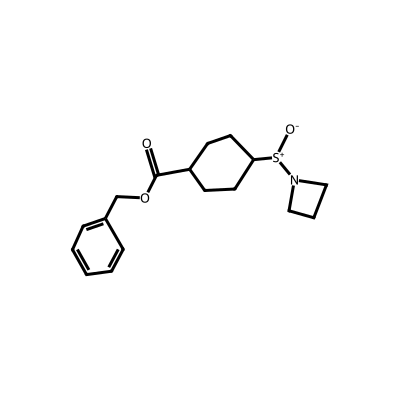 O=C(OCc1ccccc1)C1CCC([S+]([O-])N2CCC2)CC1